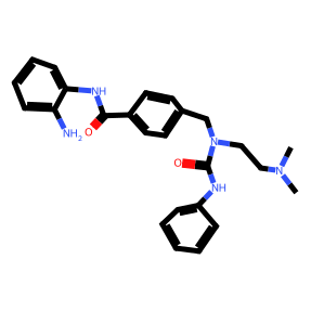 CN(C)CCN(Cc1ccc(C(=O)Nc2ccccc2N)cc1)C(=O)Nc1ccccc1